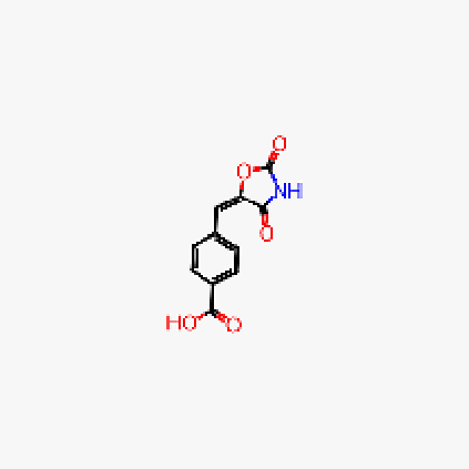 O=C1NC(=O)/C(=C\c2ccc(C(=O)O)cc2)O1